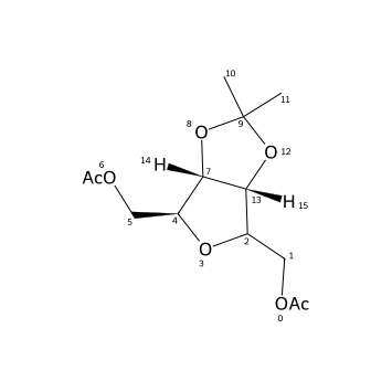 CC(=O)OCC1O[C@@H](COC(C)=O)[C@@H]2OC(C)(C)O[C@H]12